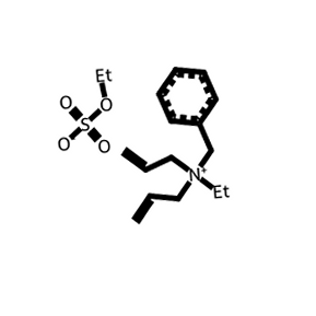 C=CC[N+](CC)(CC=C)Cc1ccccc1.CCOS(=O)(=O)[O-]